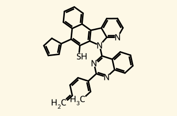 C=C/C=C\C(=C/C)c1nc(-n2c3ncccc3c3c4ccccc4c(C4=CC=CC4)c(S)c32)c2ccccc2n1